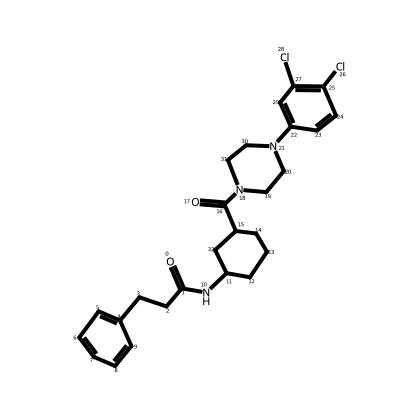 O=C(CCc1ccccc1)NC1CCCC(C(=O)N2CCN(c3ccc(Cl)c(Cl)c3)CC2)C1